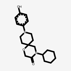 O=C1COC2(CCN(c3ccc(O)cc3)CC2)CN1C1CCCCC1